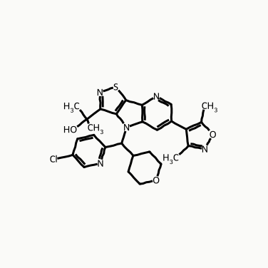 Cc1noc(C)c1-c1cnc2c3snc(C(C)(C)O)c3n(C(c3ccc(Cl)cn3)C3CCOCC3)c2c1